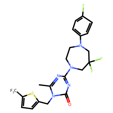 Cc1nc(N2CCN(c3ccc(F)cc3)CC(F)(F)C2)nc(=O)n1Cc1ccc(C(F)(F)F)s1